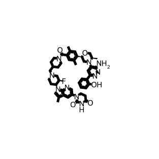 Cc1cc([C@@H]2CN(c3cc(-c4ccccc4O)nnc3N)[C@H](C)CO2)c(C)cc1C(=O)N1CCC(CN2CC[C@H](n3cc(C)c4cc(N5CCC(=O)NC5=O)cnc43)[C@H](F)C2)CC1